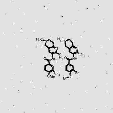 CCOc1ccc(C(=O)Nc2cc3c(nc2C)CCN(C)C3)cc1Br.COc1ccc(C(=O)Nc2cc3c(nc2C)CCN(C)C3)cc1C(F)(F)F